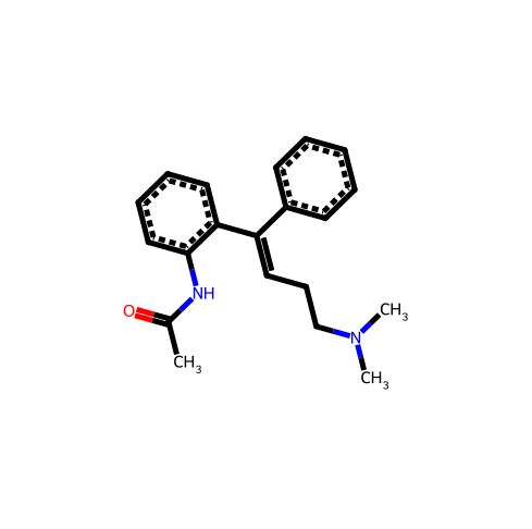 CC(=O)Nc1ccccc1C(=CCCN(C)C)c1ccccc1